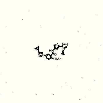 COc1ccc(-n2cnc(C3CC3)c2)cc1C(=O)Nc1csc(-c2nncn2C2CC2)c1